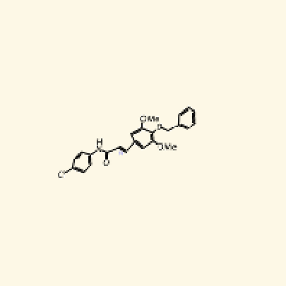 COc1cc(/C=C/C(=O)Nc2ccc(Cl)cc2)cc(OC)c1OCc1ccccc1